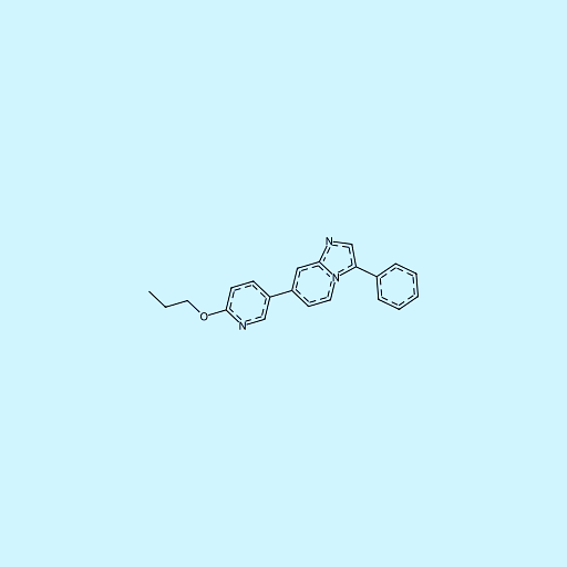 CCCOc1ccc(-c2ccn3c(-c4ccccc4)cnc3c2)cn1